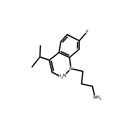 C/C=C(\c1ccc(F)cc1N(N)CCCN)C(C)C